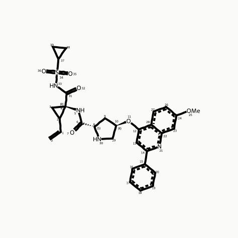 C=CC1C[C@]1(NC(=O)[C@@H]1C[C@@H](Oc2cc(-c3ccccc3)nc3cc(OC)ccc23)CN1)C(=O)NS(=O)(=O)C1CC1